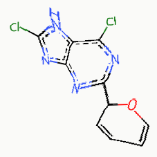 Clc1nc2nc(C3C=CC=CO3)nc(Cl)c2[nH]1